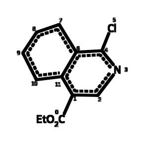 CCOC(=O)c1cnc(Cl)c2ccccc12